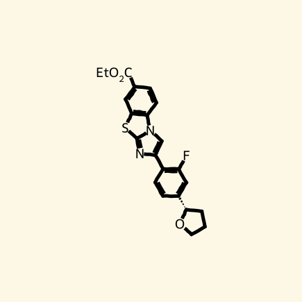 CCOC(=O)c1ccc2c(c1)sc1nc(-c3ccc([C@@H]4CCCO4)cc3F)cn12